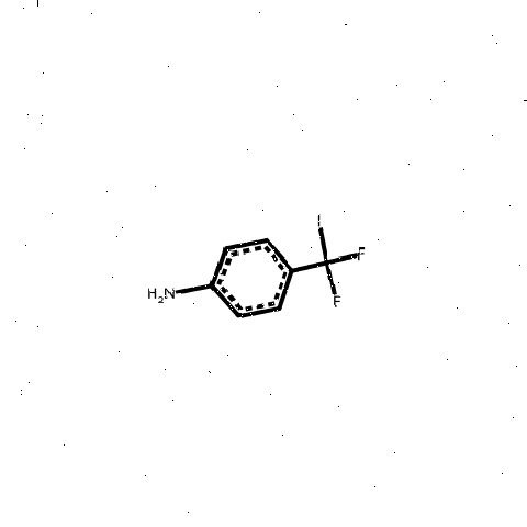 Nc1ccc(C(F)(F)I)cc1